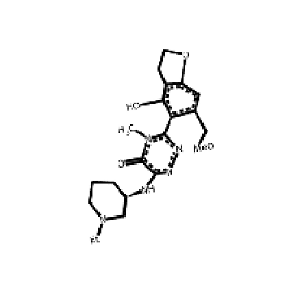 CCN1CCC[C@@H](Nc2nnc(-c3c(COC)cc4c(c3O)CCO4)n(C)c2=O)C1